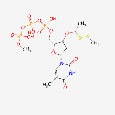 COP(=O)(O)OP(=O)(O)OP(=O)(O)OC[C@H]1O[C@@H](n2cc(C)c(=O)[nH]c2=O)CC1O[C@H](C)SSC